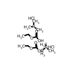 CCOC(=O)O.CCOC(=O)O.CN(C)C.CN(C)C.Cl.Cl